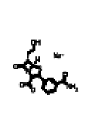 NC(=O)c1cccc(C2=C(C(=O)[O-])N3C(=O)[C@H](CCO)[C@H]3S2)c1.[Na+]